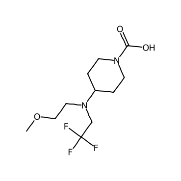 COCCN(CC(F)(F)F)C1CCN(C(=O)O)CC1